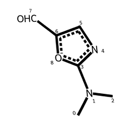 CN(C)c1ncc(C=O)o1